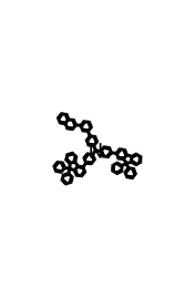 c1ccc(C2(c3ccccc3)c3ccccc3-c3ccc(-c4ccc(N(c5ccc(-c6cccc(-c7ccc8ccccc8c7)c6)cc5)c5ccc(-c6cccc7c6-c6ccccc6C7(c6ccccc6)c6ccccc6)cc5)cc4)cc32)cc1